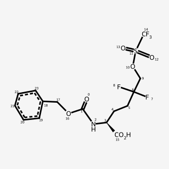 O=C(N[C@@H](CCC(F)(F)COS(=O)(=O)C(F)(F)F)C(=O)O)OCc1ccccc1